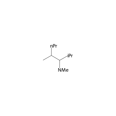 CCCC(C)C(NC)C(C)C